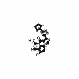 CC(C)n1c(=O)c2c(-c3nc(C4CCCC4)no3)ncn2c2ccc(Cl)c(C#N)c21